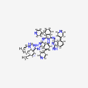 C=C\C=C/C(CC)=C(\N=C1N=C(/N=C2\N/C(=N\C3=NC(=N)c4cccc(-c5ccncc5)c43)c3cccc(-c4ccncc4)c32)c2cccc(-c3ccncc3)c2/1)NCNC=C